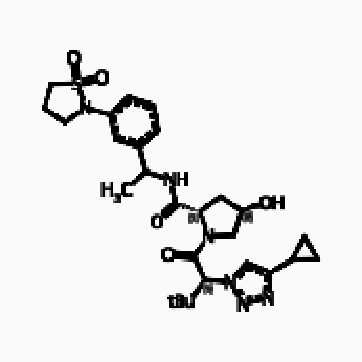 CC(NC(=O)[C@@H]1C[C@@H](O)CN1C(=O)[C@@H](n1cc(C2CC2)nn1)C(C)(C)C)c1cccc(N2CCCS2(=O)=O)c1